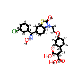 CON=C(c1cccc(Cl)c1)c1ccc2c(c1)sc(=O)n2CCOc1ccc(C=C(C(=O)O)C(=O)O)cc1